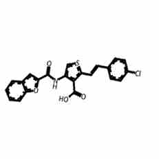 O=C(Nc1csc(/C=C/c2ccc(Cl)cc2)c1C(=O)O)c1cc2ccccc2o1